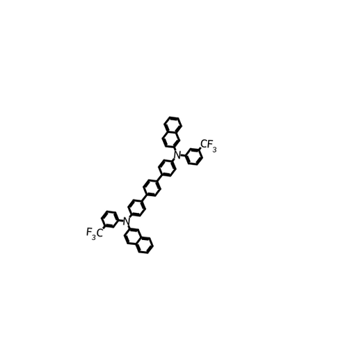 FC(F)(F)c1cccc(N(c2ccc(-c3ccc(-c4ccc(N(c5cccc(C(F)(F)F)c5)c5ccc6ccccc6c5)cc4)cc3)cc2)c2ccc3ccccc3c2)c1